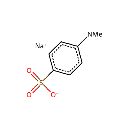 CNc1ccc(S(=O)(=O)[O-])cc1.[Na+]